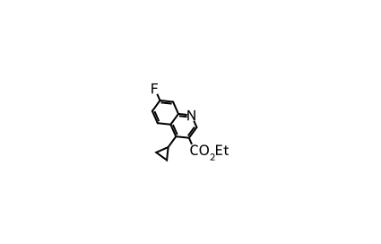 CCOC(=O)c1cnc2cc(F)ccc2c1C1CC1